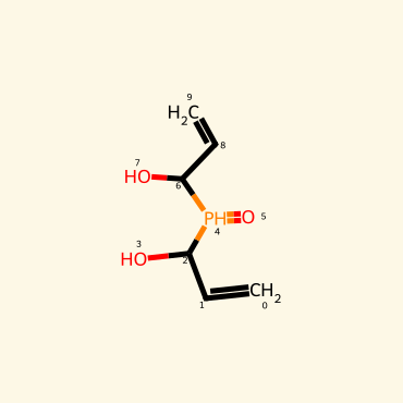 C=CC(O)[PH](=O)C(O)C=C